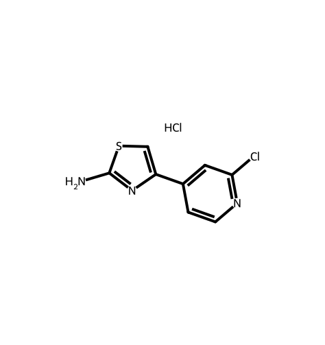 Cl.Nc1nc(-c2ccnc(Cl)c2)cs1